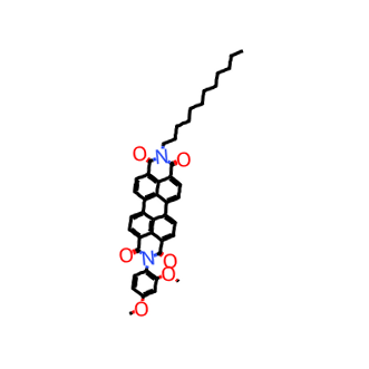 CCCCCCCCCCCCN1C(=O)c2ccc3c4ccc5c6c(ccc(c7ccc(c2c37)C1=O)c64)C(=O)N(c1ccc(OC)cc1OC)C5=O